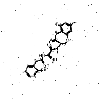 Cc1cc(F)c2c(c1)OCC(NC(=O)C(=N)NC(=N)Cc1ccccc1F)C(=O)N2